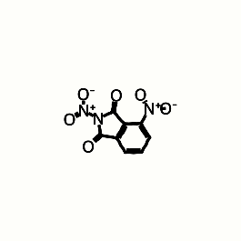 O=C1c2cccc([N+](=O)[O-])c2C(=O)N1[N+](=O)[O-]